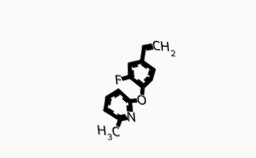 C=Cc1ccc(Oc2cccc(C)n2)c(F)c1